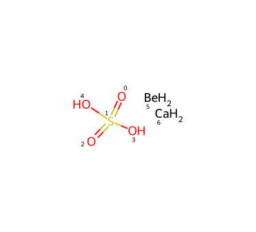 O=S(=O)(O)O.[BeH2].[CaH2]